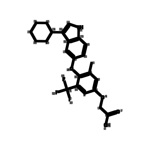 Cc1cc(OCC(=O)O)cc(C(F)(F)F)c1Oc1ccc2[nH]cc(C3CCCCC3)c2c1